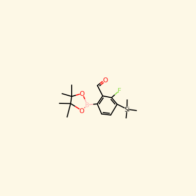 CC1(C)OB(c2ccc([Si](C)(C)C)c(F)c2C=O)OC1(C)C